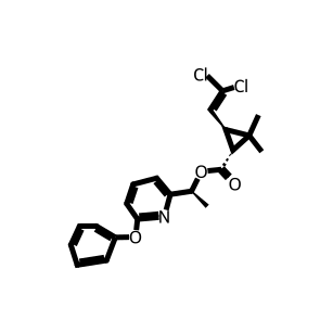 C[C@H](OC(=O)[C@@H]1[C@@H](C=C(Cl)Cl)C1(C)C)c1cccc(Oc2ccccc2)n1